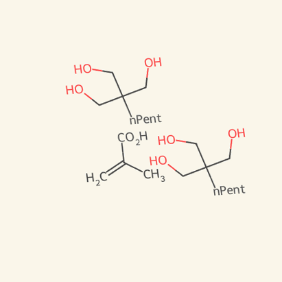 C=C(C)C(=O)O.CCCCCC(CO)(CO)CO.CCCCCC(CO)(CO)CO